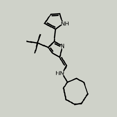 CC(C)(C)C1=C/C(=C\NC2CCCCCCC2)N=C1c1ccc[nH]1